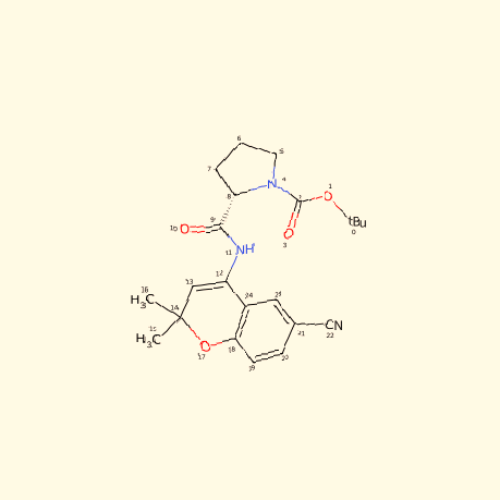 CC(C)(C)OC(=O)N1CCC[C@H]1C(=O)NC1=CC(C)(C)Oc2ccc(C#N)cc21